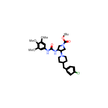 COc1cc(NC(=O)NC2CN(C(=O)OC(C)(C)C)CC2N2CCC(Cc3ccc(Cl)cc3)CC2)cc(OC)c1OC